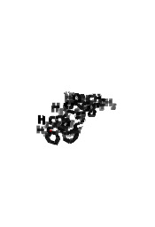 CCOP(=O)(OCC)[C@](CC(C)CO[Si](c1ccccc1)(c1ccccc1)C(C)(C)C)(C(=O)O)C(C)(C)C